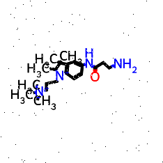 CC1=[N+](CCC[N+](C)(C)C)c2ccc(NC(=O)CCN)cc2C1(C)C